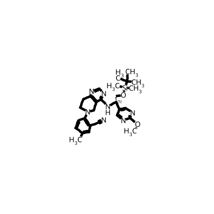 COc1ncc([C@@H](CO[Si](C)(C)C(C)(C)C)Nc2ncnc3c2CN(c2ccc(C)cc2C#N)CC3)cn1